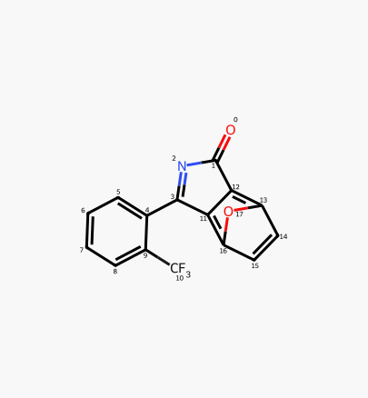 O=C1N=C(c2ccccc2C(F)(F)F)c2c1c1ccc2o1